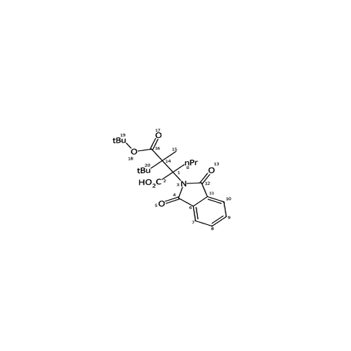 CCCC(C(=O)O)(N1C(=O)c2ccccc2C1=O)C(C)(C(=O)OC(C)(C)C)C(C)(C)C